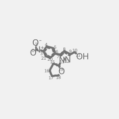 O=[N+]([O-])c1ccc(-c2cc(CO)nn2C2CCCCO2)cc1